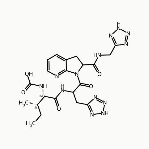 CC[C@H](C)[C@H](NC(=O)O)C(=O)NC(Cc1nn[nH]n1)C(=O)N1c2ncccc2CC1C(=O)NCc1nn[nH]n1